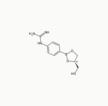 N=C(N)Nc1ccc(B2OC[C@@H](CO)O2)cc1